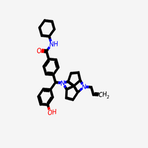 C=CCN1C2CCC3N(C(c4ccc(C(=O)NC5CCCCC5)cc4)c4cccc(O)c4)C4CCC1C234